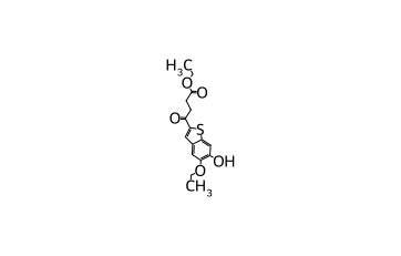 CCOC(=O)CCC(=O)c1cc2cc(OCC)c(O)cc2s1